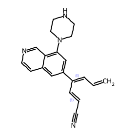 C=C/C=C(\C=C\C#N)c1cc(N2CCNCC2)c2cnccc2c1